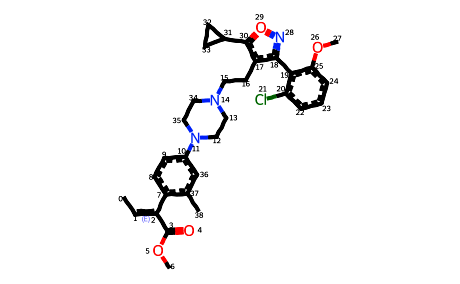 C/C=C(/C(=O)OC)c1ccc(N2CCN(CCc3c(-c4c(Cl)cccc4OC)noc3C3CC3)CC2)cc1C